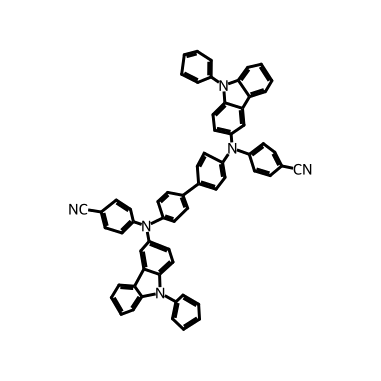 N#Cc1ccc(N(c2ccc(-c3ccc(N(c4ccc(C#N)cc4)c4ccc5c(c4)c4ccccc4n5-c4ccccc4)cc3)cc2)c2ccc3c(c2)c2ccccc2n3-c2ccccc2)cc1